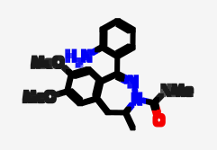 CNC(=O)N1N=C(c2ccccc2N)c2cc(OC)c(OC)cc2CC1C